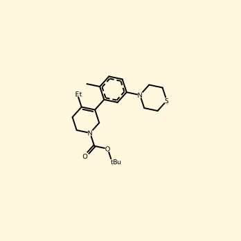 CCC1=C(c2cc(N3CCSCC3)ccc2C)CN(C(=O)OC(C)(C)C)CC1